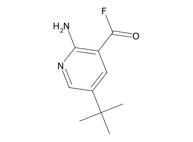 CC(C)(C)c1cnc(N)c(C(=O)F)c1